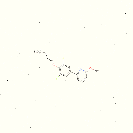 CCOC(=O)CCCOc1c(F)cc(-c2cccc(OC(C)C)n2)cc1F